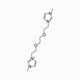 Cn1cc[n+](CCOCCOCC[n+]2ccn(C)c2)c1